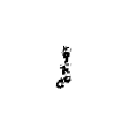 NS(=O)(=O)c1ccc(CCNC(=O)C2CCN(c3nccc4c3nc3n4CCCCC3)CC2)cc1